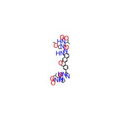 CCO[C@H]1C[C@@H](c2nc3ccc4cc5c(cc4c3[nH]2)OCc2cc(-c3cnc([C@@H]4CCCN4C(=O)C(NC(=O)OC)C(C)C)[nH]3)ccc2-5)N(C(=O)C(NC(=O)OC)C(C)C)C1